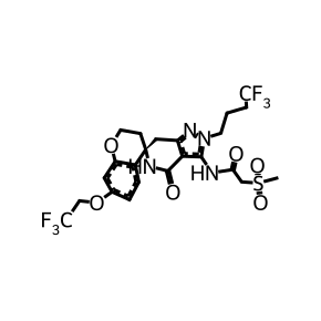 CS(=O)(=O)CC(=O)Nc1c2c(nn1CCCC(F)(F)F)C[C@@]1(CCOc3cc(OCC(F)(F)F)ccc31)NC2=O